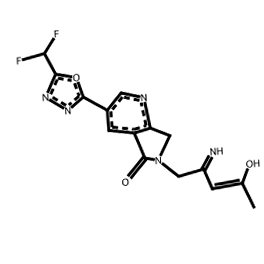 C/C(O)=C/C(=N)CN1Cc2ncc(-c3nnc(C(F)F)o3)cc2C1=O